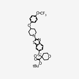 CC(C)(C)OC(=O)C1([S+]([O-])c2ccc3nc(N4CCC(Oc5ccc(OC(F)(F)F)cc5)CC4)sc3c2)CCOCC1